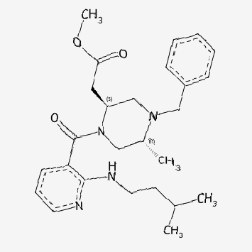 COC(=O)C[C@H]1CN(Cc2ccccc2)[C@H](C)CN1C(=O)c1cccnc1NCCC(C)C